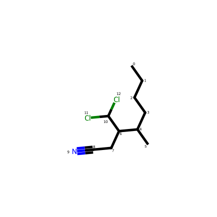 CCCCC(C)C(CC#N)C(Cl)Cl